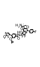 COc1ncc(-c2ccc(C(=O)NCC(O)(c3cc4c(c(-c5ccc(F)cc5)n3)OC[C@]4(C)C(N)=O)C(F)(F)F)cc2OC2CC2)s1